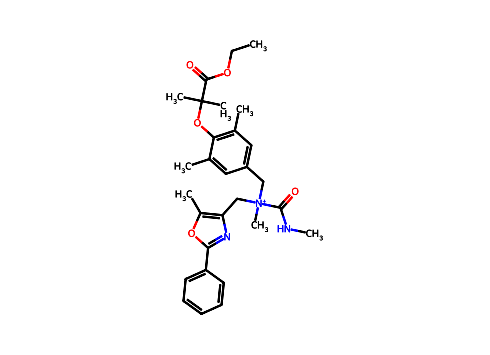 CCOC(=O)C(C)(C)Oc1c(C)cc(C[N+](C)(Cc2nc(-c3ccccc3)oc2C)C(=O)NC)cc1C